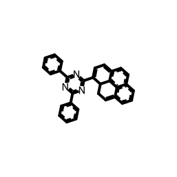 C1=C(c2nc(-c3ccccc3)nc(-c3ccccc3)n2)C2CC=c3cccc4ccc(c2c34)=C1